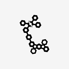 c1ccc(-c2nc(-c3ccccc3)c(-c3cccc(-c4ccc(-c5ccc6c(c5)-c5cc7c(cc5C65CCCCC5)-c5ccccc5C75CCCCC5)cc4)c3)nc2-c2ccccc2)cc1